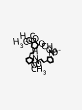 COc1cccc(/C=C/c2cc(OC)c(OC)c(OC)c2)c1NC(=O)/C=C/c1cccc([N+](=O)[O-])c1